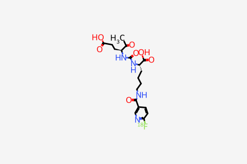 CC(=O)[C@H](CCC(=O)O)NC(=O)N[C@@H](CCCCNC(=O)c1ccc([18F])nc1)C(=O)O